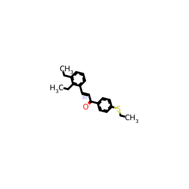 CCSc1ccc(C(=O)/C=C/c2cccc(CC)c2CC)cc1